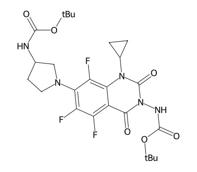 CC(C)(C)OC(=O)NC1CCN(c2c(F)c(F)c3c(=O)n(NC(=O)OC(C)(C)C)c(=O)n(C4CC4)c3c2F)C1